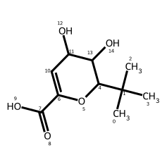 CC(C)(C)C1OC(C(=O)O)=CC(O)C1O